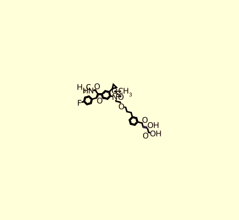 CNC(=O)c1c(-c2ccc(F)cc2)oc2cc(N(CCOCCCc3cccc(C(=O)/C=C(\O)C(=O)O)c3)S(C)(=O)=O)c(C3CC3)cc12